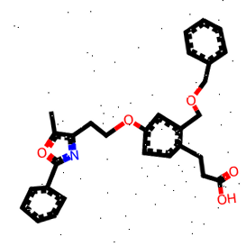 Cc1oc(-c2ccccc2)nc1CCOc1ccc(CCC(=O)O)c(COCc2ccccc2)c1